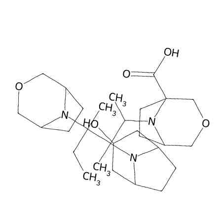 CCC(C)(N1C2CCC1COC2)C(C)(C(C)N1C2CCC1(C(=O)O)COC2)N1C2CCC1CC(O)C2